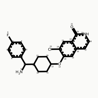 NC(c1ccc(F)cc1)C1CCC(Oc2cc3cc[nH]c(=O)c3cc2Cl)CC1